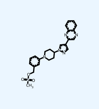 CS(=O)(=O)OCc1cccc(N2CCC(n3cc(-c4cnc5ccccc5n4)cn3)CC2)c1